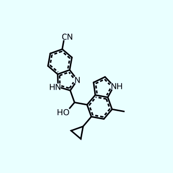 Cc1cc(C2CC2)c(C(O)c2nc3cc(C#N)ccc3[nH]2)c2cc[nH]c12